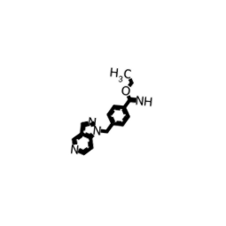 CCOC(=N)c1ccc(Cn2ncc3cnccc32)cc1